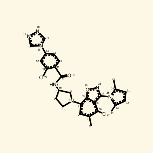 Cc1cc(N2CC[C@@H](NC(=O)c3ccc(-n4cnnc4)cc3Cl)C2)c2onc(-n3c(C)ccc3C)c2c1Cl